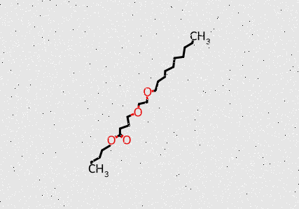 CCCCCCCCCCOCCOCCCC(=O)OCCCCC